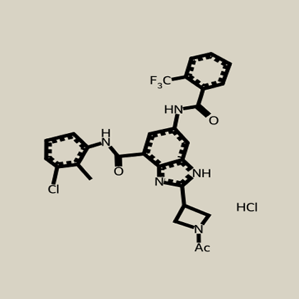 CC(=O)N1CC(c2nc3c(C(=O)Nc4cccc(Cl)c4C)cc(NC(=O)c4ccccc4C(F)(F)F)cc3[nH]2)C1.Cl